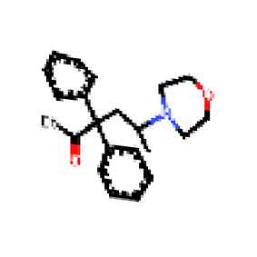 CCC(=O)C(CC(C)N1CCOCC1)(c1ccccc1)c1ccccc1